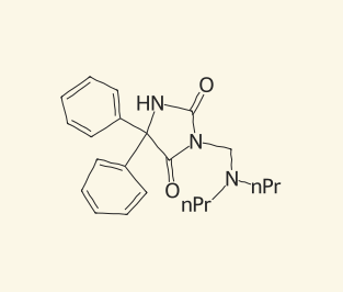 CCCN(CCC)CN1C(=O)NC(c2ccccc2)(c2ccccc2)C1=O